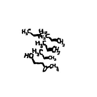 C=CC.C=CC.C=CC.C=CC.COCCO